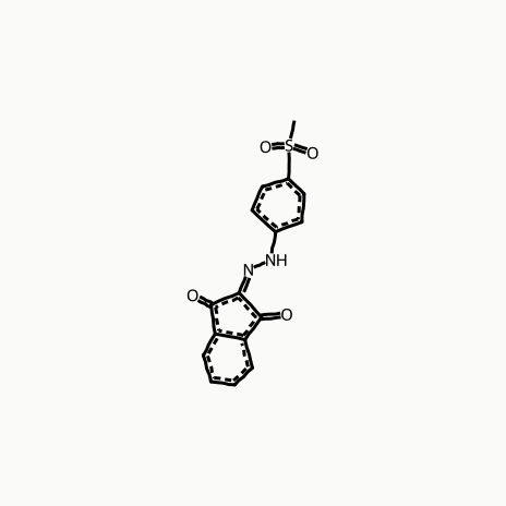 CS(=O)(=O)c1ccc(NN=c2c(=O)c3ccccc3c2=O)cc1